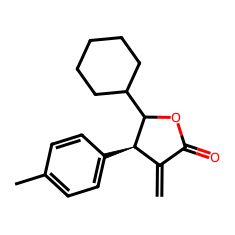 C=C1C(=O)OC(C2CCCCC2)[C@@H]1c1ccc(C)cc1